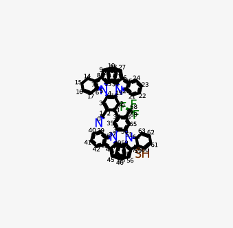 N#CC1=CC(n2c3c(c4ccccc42)CCC=C3)=C(n2c3ccccc3c3ccccc32)CC1c1cc(-n2c3ccccc3c3ccccc32)c(N2c3ccccc3C3(S)C=CC=CC23)cc1C(F)(F)F